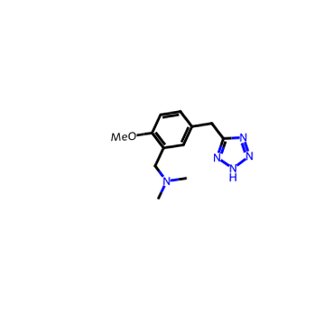 COc1ccc(Cc2nn[nH]n2)cc1CN(C)C